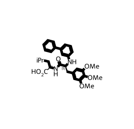 COc1cc(C[C@H](Nc2cccc(-c3ccccc3)c2)C(=O)N[C@@H](CC(C)C)C(=O)O)cc(OC)c1OC